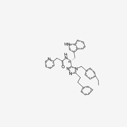 CCc1ccc(Cn2c(CCc3ccccc3)nnc2[C@@H](Cc2c[nH]c3ccccc23)NC(=O)Cc2ccccn2)cc1